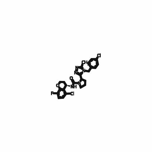 Cc1nnc(C2CCCN2C(=O)N[C@H]2CCOc3c(F)ccc(Cl)c32)n1Cc1ccc(Cl)cc1